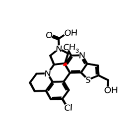 Cc1cc(-c2cc(Cl)cc3c2N(C2CCN(C(=O)O)C2)CCC3)c2sc(CO)cc2n1